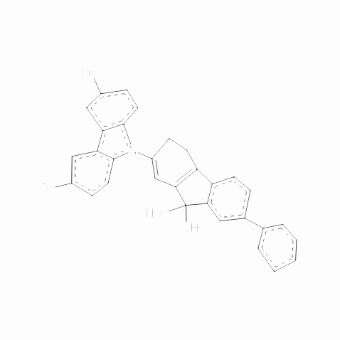 CC1(C)C2=C(CCC(n3c4ccc(Br)cc4c4cc(Br)ccc43)=C2)c2ccc(-c3ccccc3)cc21